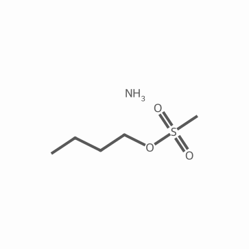 CCCCOS(C)(=O)=O.N